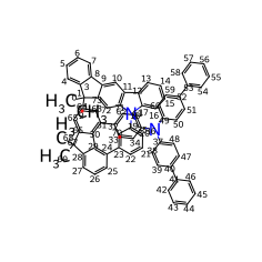 CC1(C)c2ccccc2-c2cc3c4ccccc4n(-c4cccc(-c5cccc6c5-c5c(-c7ccc(N(c8ccc(-c9ccccc9)cc8)c8ccc(-c9ccccc9)cc8)cc7)cccc5C6(C)C)c4)c3cc21